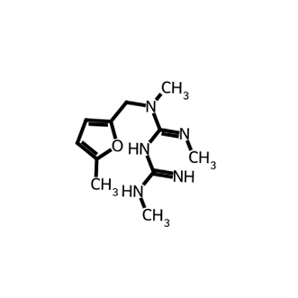 C/N=C(\NC(=N)NC)N(C)Cc1ccc(C)o1